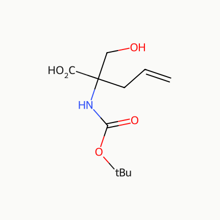 C=CCC(CO)(NC(=O)OC(C)(C)C)C(=O)O